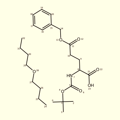 CC(C)(C)OC(=O)NC(CCC(=O)OCc1ccccc1)C(=O)O.CCCCOCCCC